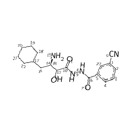 N#Cc1cccc(C(=O)NNC(=O)C(O)[C@H](N)CC2CCCCC2)c1